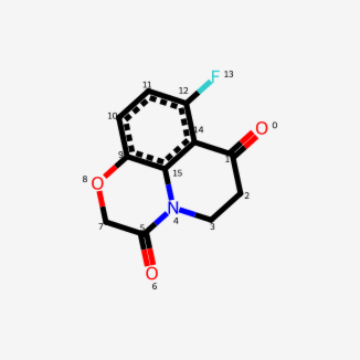 O=C1CCN2C(=O)COc3ccc(F)c1c32